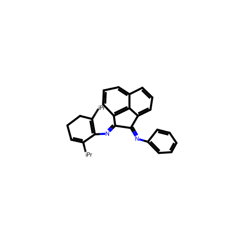 CC(C)C1=CCCC(C(C)C)=C1/N=C1/C(=N/c2ccccc2)c2cccc3cccc1c23